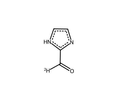 [2H]C(=O)c1ncc[nH]1